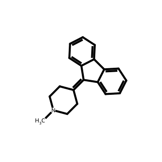 CN1CCC(=C2c3ccccc3-c3ccccc32)CC1